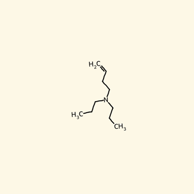 C=CCCN(CCC)CCC